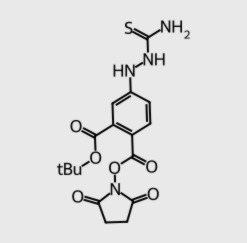 CC(C)(C)OC(=O)c1cc(NNC(N)=S)ccc1C(=O)ON1C(=O)CCC1=O